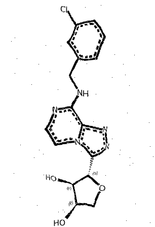 O[C@@H]1[C@H](O)CO[C@H]1c1nnc2c(NCc3cccc(Cl)c3)nccn12